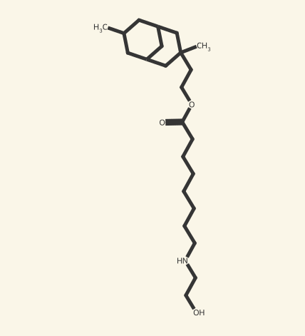 CC1CC2CC(C1)CC(C)(CCOC(=O)CCCCCCCNCCO)C2